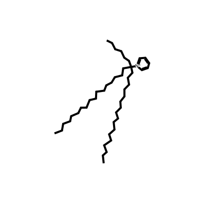 CCCCCCCCCCCCCCCCCC(CCCCCC)(CCCCCCCCCCCCCCCCC)[n+]1ccccc1